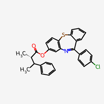 CC(c1ccccc1)[C@H](C)C(=O)Oc1ccc2c(c1)N=C(c1ccc(Cl)cc1)c1ccccc1S2